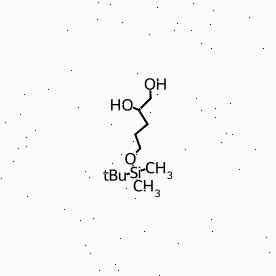 CC(C)(C)[Si](C)(C)OCCCC(O)CO